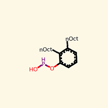 CCCCCCCCc1cccc(OPO)c1CCCCCCCC